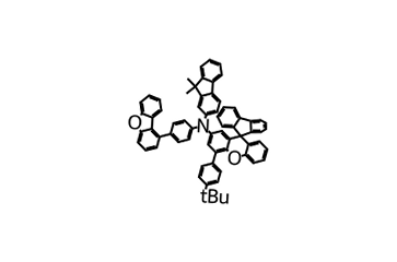 CC(C)(C)c1ccc(-c2cc(N(c3ccc(-c4cccc5oc6ccccc6c45)cc3)c3ccc4c(c3)C(C)(C)c3ccccc3-4)cc3c2Oc2ccccc2C32c3ccccc3-c3ccccc32)cc1